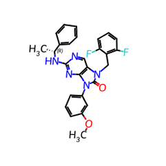 COc1cccc(-n2c(=O)n(Cc3c(F)cccc3F)c3cnc(N[C@H](C)c4ccccc4)nc32)c1